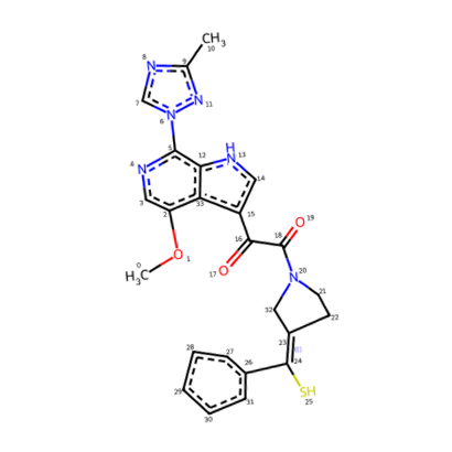 COc1cnc(-n2cnc(C)n2)c2[nH]cc(C(=O)C(=O)N3CC/C(=C(\S)c4ccccc4)C3)c12